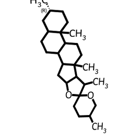 CC1CCC2(OC1)OC1CC3C4CCC5C[C@H](C)CCC5(C)C4CCC3(C)C1C2C